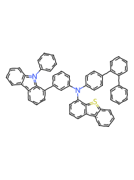 c1ccc(-c2ccccc2-c2ccc(N(c3cccc(-c4cccc5c6ccccc6n(-c6ccccc6)c45)c3)c3cccc4c3sc3ccccc34)cc2)cc1